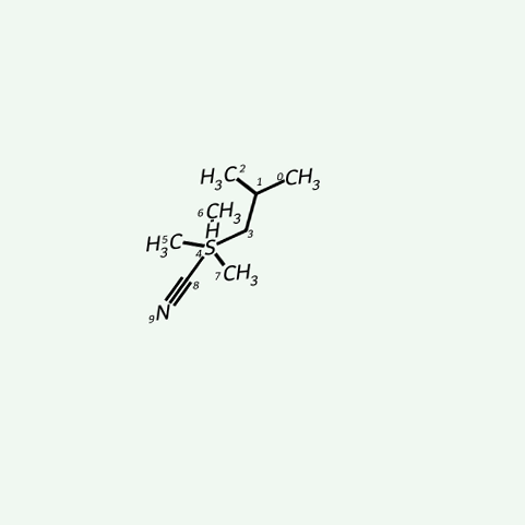 CC(C)C[SH](C)(C)(C)C#N